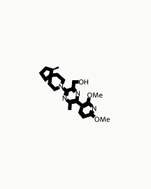 COc1ccc(-c2nc(CO)c(N3CCC4(CCC[C@H]4C)CC3)nc2C)c(OC)n1